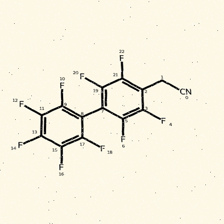 N#CCc1c(F)c(F)c(-c2c(F)c(F)c(F)c(F)c2F)c(F)c1F